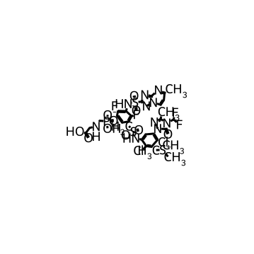 C[S+](C)C.Cc1ccn2nc(S(=O)(=O)Nc3c(F)cccc3F)nc2n1.Cc1nn(-c2cc(NS(C)(=O)=O)c(Cl)cc2Cl)c(=O)n1C(F)F.O=C(O)CNCP(=O)([O-])O